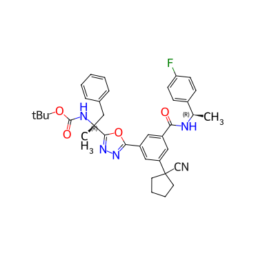 C[C@@H](NC(=O)c1cc(-c2nnc([C@@](C)(Cc3ccccc3)NC(=O)OC(C)(C)C)o2)cc(C2(C#N)CCCC2)c1)c1ccc(F)cc1